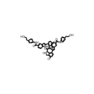 O=C(Nc1ccc(CCO)cc1)c1ccc2[nH]c(-c3ccc(Cl)c4c3C(C(=O)C3NCc5c(Cl)ccc(-c6cc7cc(C(=O)Nc8ccc(CCO)cc8)ccc7[nH]6)c53)NC4)cc2c1